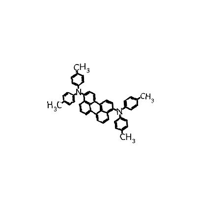 Cc1ccc(N(c2ccc(C)cc2)c2ccc3c4ccc(N(c5ccc(C)cc5)c5ccc(C)cc5)c5cccc(c6cccc2c63)c54)cc1